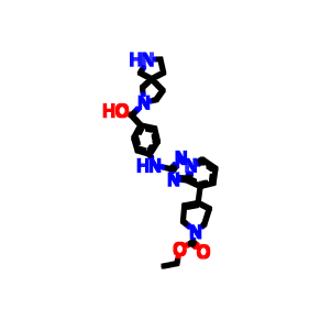 CCOC(=O)N1CC=C(c2cccn3nc(Nc4ccc(C(O)N5CCC6(CCNC6)C5)cc4)nc23)CC1